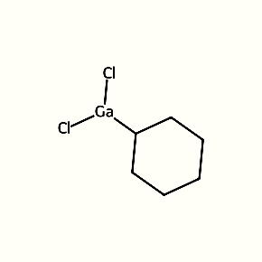 [Cl][Ga]([Cl])[CH]1CCCCC1